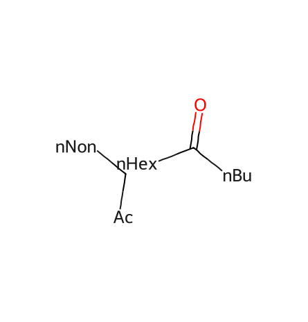 CCCCCCC(=O)CCCC.CCCCCCCCCCC(C)=O